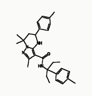 CCC(CC)(NC(=O)c1c(C)nn2c1NC(c1ccc(C)cc1)CC2(C)C)c1ccc(C)cc1